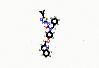 O=C(Nc1nnc(C2CC2)s1)N(Cc1ccccc1)c1ccc(OCc2ccc3ccccc3n2)cc1